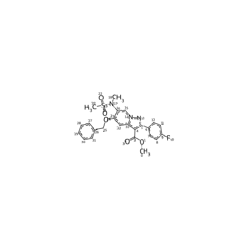 COC(=O)c1c(-c2ccc(F)cc2)nn2cc(N(C)S(C)(=O)=O)c(OCc3ccccc3)cc12